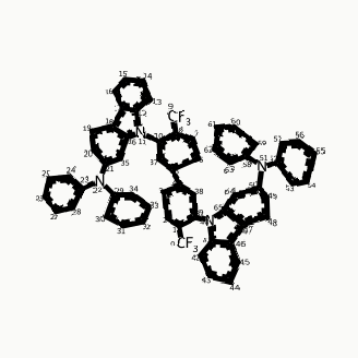 FC(F)(F)c1ccc(-c2ccc(C(F)(F)F)c(-n3c4ccccc4c4ccc(N(c5ccccc5)c5ccccc5)cc43)c2)cc1-n1c2ccccc2c2ccc(N(c3ccccc3)c3ccccc3)cc21